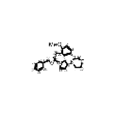 COc1cccc([C@@H]2[C@H](N3CCOCC3)CCN2C(=O)OCc2ccccc2)c1C